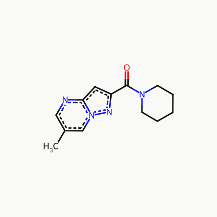 Cc1cnc2cc(C(=O)N3CCCCC3)nn2c1